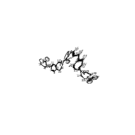 O=C1OCCN1c1ccc2c(c1)CN(c1ncc(Cc3ccc(N4CCS(=O)(=O)CC4)cc3)s1)CC2